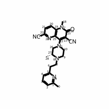 Cc1cccc(CCN2CCN(c3c(C#N)c(=O)n(C)c4ccc(C#N)nc34)C[C@H]2C)n1